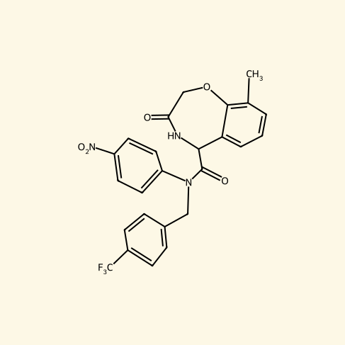 Cc1cccc2c1OCC(=O)NC2C(=O)N(Cc1ccc(C(F)(F)F)cc1)c1ccc([N+](=O)[O-])cc1